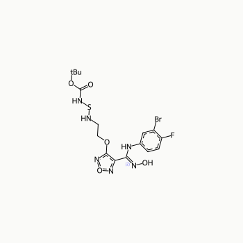 CC(C)(C)OC(=O)NSNCCOc1nonc1/C(=N/O)Nc1ccc(F)c(Br)c1